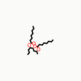 CCCCCCCC(=O)OC(CCC)C(CCC)OC(=O)CCCCCCC